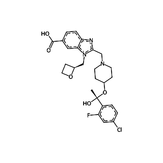 C[C@@](O)(OC1CCN(Cc2nc3ccc(C(=O)O)cc3n2C[C@@H]2CCO2)CC1)c1ccc(Cl)cc1F